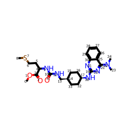 COC(=O)C(CCSC)NC(=O)NC[C@H]1CC[C@@H](Nc2nc(N(C)C)c3ccccc3n2)CC1